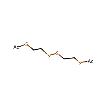 CC(=O)SCCSSCCSC(C)=O